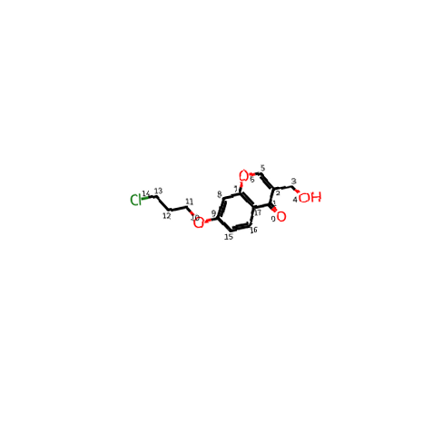 O=c1c(CO)coc2cc(OCCCCl)ccc12